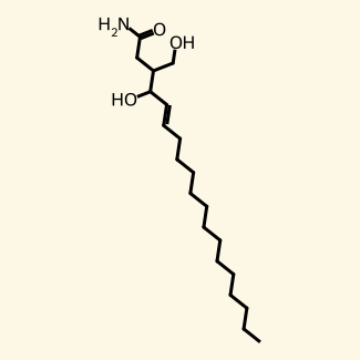 CCCCCCCCCCCCCC=CC(O)C(CO)CC(N)=O